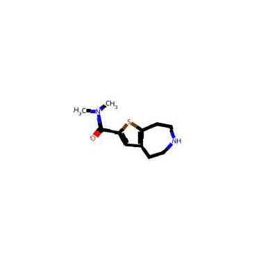 CN(C)C(=O)c1cc2c(s1)CCNCC2